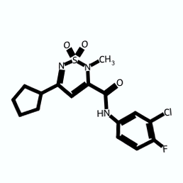 CN1C(C(=O)Nc2ccc(F)c(Cl)c2)=CC(C2CCCC2)=NS1(=O)=O